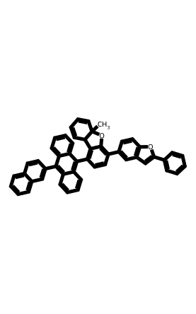 CC12C=CC=CC1c1c(-c3c4ccccc4c(-c4ccc5ccccc5c4)c4ccccc34)ccc(-c3ccc4oc(-c5ccccc5)cc4c3)c1O2